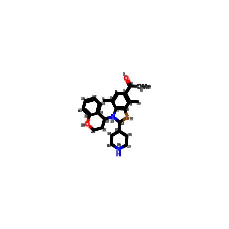 COC(=O)c1cc(C)c2c(c1C)SC(C1CCNCC1)N2C1CCOc2ccccc21